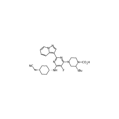 CC(C)(C)C1CN(c2nc(-c3cnn4ccccc34)nc(N[C@H]3CC[C@H](CC#N)CC3)c2F)CCN1C(=O)O